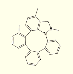 CB1Cc2c(C)ccc3c4c(C)cccc4c4ccccc4c4ccccc4n1c23